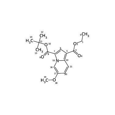 CCOC(=O)c1cc(C(=O)OC(C)(C)C)n2cc(OC)ccc12